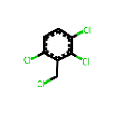 ClCc1c(Cl)ccc(Cl)c1Cl